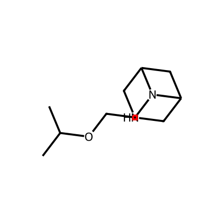 CC(C)OCCN1C2CNCC1C2